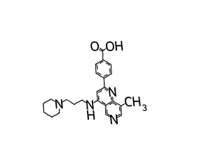 Cc1cncc2c(NCCCN3CCCCC3)cc(-c3ccc(C(=O)O)cc3)nc12